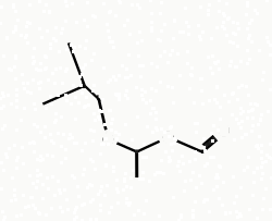 CC(C)[CH]OC(C)O[C]=O